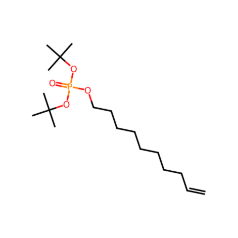 C=CCCCCCCCCOP(=O)(OC(C)(C)C)OC(C)(C)C